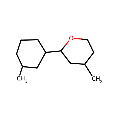 CC1CCCC(C2CC(C)CCO2)C1